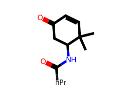 CCCC(=O)NC1CC(=O)C=CC1(C)C